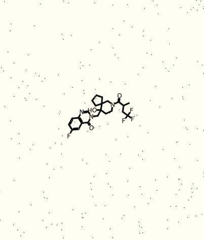 CC(CC(F)(F)F)C(=O)N1CCC(O)(Cn2cnc3ccc(F)cc3c2=O)C2(CCCC2)C1